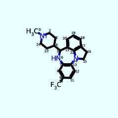 CN1CCC(C2Nc3cc(C(F)(F)F)ccc3N3CCc4cccc2c43)CC1